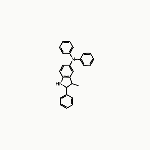 CC1c2cc(N(c3ccccc3)c3ccccc3)ccc2NC1c1ccccc1